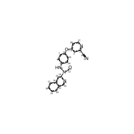 N#Cc1cc(Oc2ccc(NN(C=O)c3cc4ccccc4cn3)cc2)ccn1